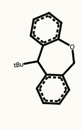 CC(C)(C)C1c2ccccc2COc2ccccc21